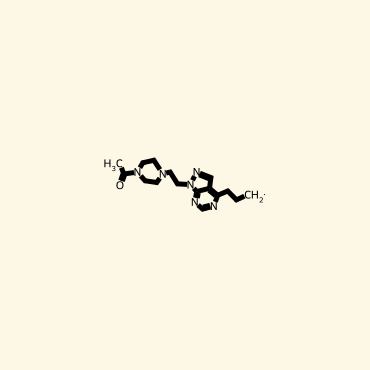 [CH2]CCc1ncnc2c1cnn2CCN1CCN(C(C)=O)CC1